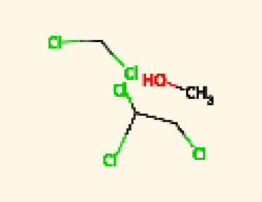 CO.ClCC(Cl)Cl.ClCCl